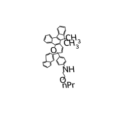 CCCOCCNc1ccc(C2(c3ccc4ccccc4c3)C=Cc3c4c(c5ccccc5c3O2)-c2ccccc2C4(C)C)cc1